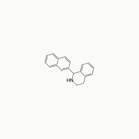 [c]1c(C2NCCc3ccccc32)ccc2ccccc12